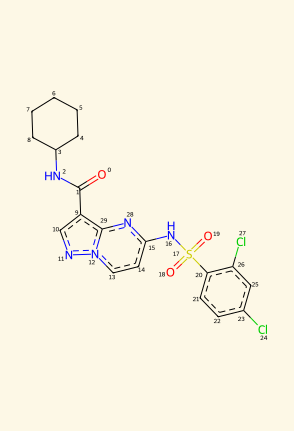 O=C(NC1CCCCC1)c1cnn2ccc(NS(=O)(=O)c3ccc(Cl)cc3Cl)nc12